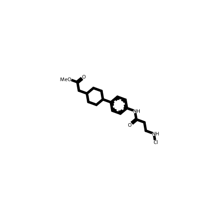 COC(=O)CC1CCC(c2ccc(NC(=O)CCNCl)cc2)CC1